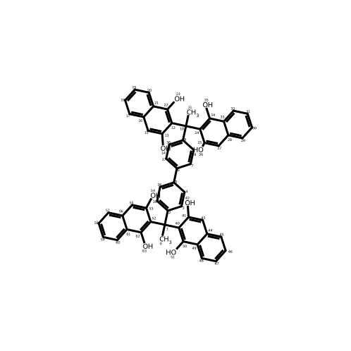 CC(c1ccc(-c2ccc(C(C)(c3c(O)cc4ccccc4c3O)c3c(O)cc4ccccc4c3O)cc2)cc1)(c1c(O)cc2ccccc2c1O)c1c(O)cc2ccccc2c1O